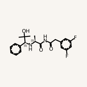 C[C@H](N[C@@H](c1ccccc1)C(C)(C)O)C(=O)NC(=O)Cc1cc(F)cc(F)c1